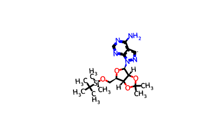 CC1(C)O[C@@H]2[C@H](O1)[C@@H](CO[Si](C)(C)C(C)(C)C)O[C@H]2n1n[c]c2c(N)ncnc21